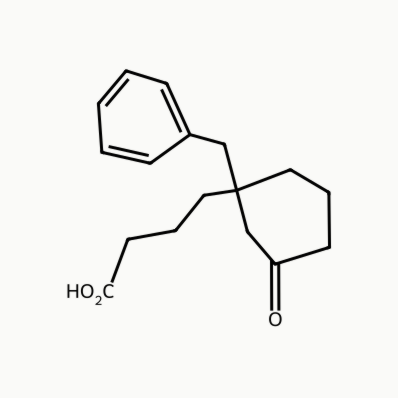 O=C(O)CCCC1(Cc2ccccc2)CCCC(=O)C1